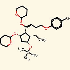 Cc1ccc(OCC/C=C(/OC2CCCCO2)[C@@H]2[C@H](CC=O)[C@H](O[Si](C)(C)C(C)(C)C)C[C@@H]2OC2CCCCO2)cc1